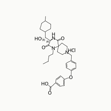 CCCCN1C(=O)[C@@H]([C@H](O)C2CCC(C)CC2)NC(=O)C12CCN(Cc1ccc(Oc3ccc(C(=O)O)cc3)cc1)CC2.Cl